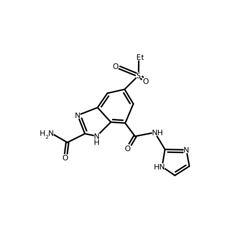 CCS(=O)(=O)c1cc(C(=O)Nc2ncc[nH]2)c2[nH]c(C(N)=O)nc2c1